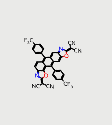 N#CC(C#N)=c1nc2cc3c(-c4ccc(C(F)(F)F)cc4)c4ccc5nc(=C(C#N)C#N)oc5c4c(-c4ccc(C(F)(F)F)cc4)c3cc2o1